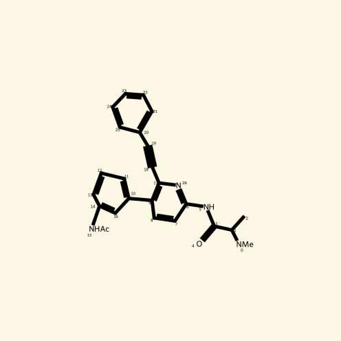 CNC(C)C(=O)Nc1ccc(-c2cccc(NC(C)=O)c2)c(C#Cc2ccccc2)n1